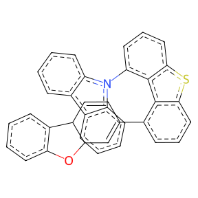 C1=CC2c3ccccc3OC2C=C1c1cccc2sc3cccc(-n4c5ccccc5c5ccccc54)c3c12